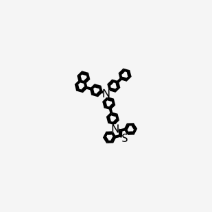 c1ccc(-c2ccc(N(c3ccc(-c4ccc(-n5c6ccccc6c6sc7ccccc7c65)cc4)cc3)c3ccc(-c4cccc5ccccc45)cc3)cc2)cc1